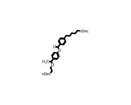 CCCCCCCCCCCCCCCc1ccc(C(=O)Oc2ccc(C(C)OCCCCCCCCCCCC)cc2)cc1